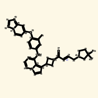 Cc1cc(Nc2ncnn3ccc(C4CN(C(=O)/C=C/CN5CCC(F)(F)C5)C4)c23)ccc1Oc1ccn2ncnc2c1